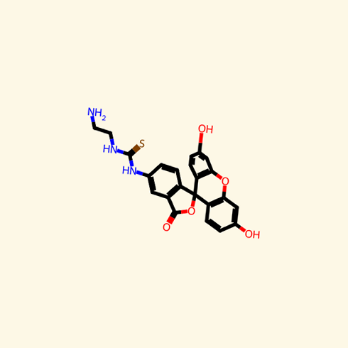 NCCNC(=S)Nc1ccc2c(c1)C(=O)OC21c2ccc(O)cc2Oc2cc(O)ccc21